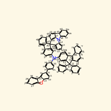 c1ccc2c(c1)-c1ccccc1C21c2cc(N(c3ccc(-c4ccc5oc6ccccc6c5c4)cc3)c3ccc4c(c3)C3(c5ccccc5-4)c4ccccc4-n4c5ccccc5c5cccc3c54)ccc2-c2c1ccc1ccccc21